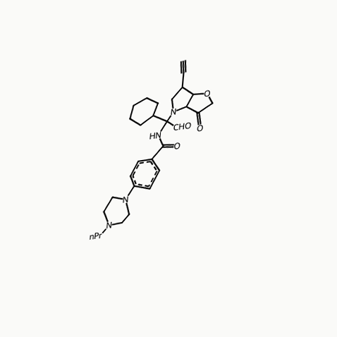 C#CC1CN(C(C=O)(NC(=O)c2ccc(N3CCN(CCC)CC3)cc2)C2CCCCC2)C2C(=O)COC12